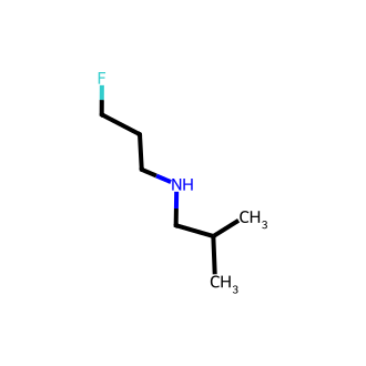 CC(C)CNCCCF